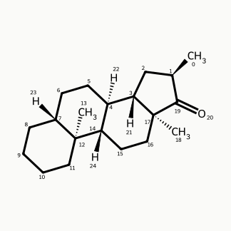 C[C@@H]1C[C@H]2[C@@H]3CC[C@H]4CCCC[C@]4(C)[C@H]3CC[C@]2(C)C1=O